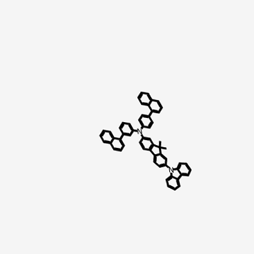 CC1(C)c2cc(N(c3ccc(-c4cccc5ccccc45)cc3)c3cccc(-c4cccc5ccccc45)c3)ccc2-c2ccc(-n3c4ccccc4c4ccccc43)cc21